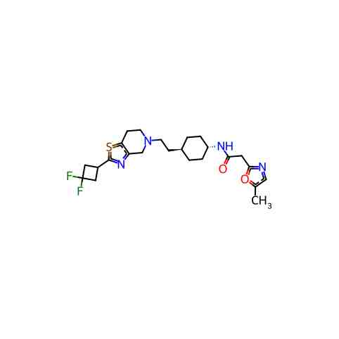 Cc1cnc(CC(=O)N[C@H]2CC[C@H](CCN3CCc4sc(C5CC(F)(F)C5)nc4C3)CC2)o1